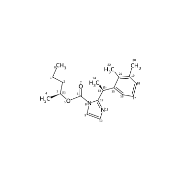 CCC[C@H](C)OC(=O)n1ccnc1[C@@H](C)c1cccc(C)c1C